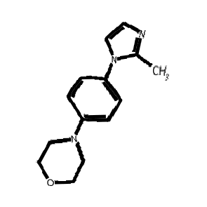 Cc1nccn1-c1ccc(N2CCOCC2)cc1